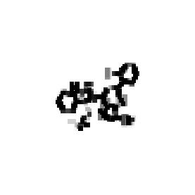 CC[C@H](c1ccccc1)N(C)c1cc(-c2ccccc2F)nc2c(Br)cnn12